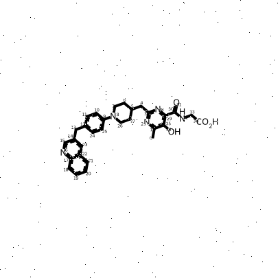 Cc1nc(CC2CCN(c3ccc(Cc4cnc5ccccc5c4)cc3)CC2)nc(C(=O)NCC(=O)O)c1O